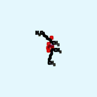 CCCCCC(=O)C(C)O[PH](=O)OC(C)C(=O)CCCCC